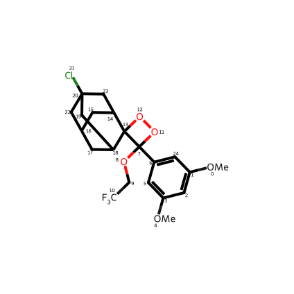 COc1cc(OC)cc(C2(OCC(F)(F)F)OOC23C2CC4CC3CC(Cl)(C4)C2)c1